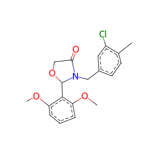 COc1cccc(OC)c1C1OCC(=O)N1Cc1ccc(C)c(Cl)c1